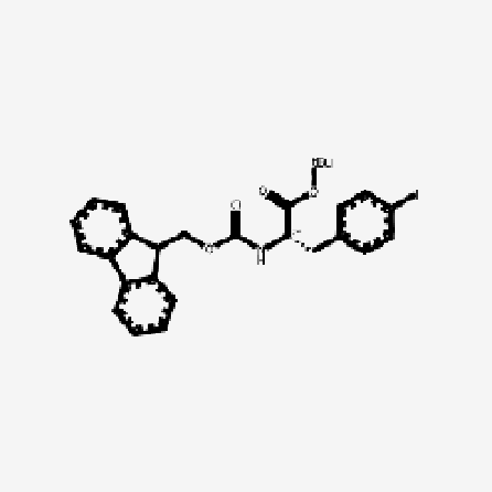 CC(C)(C)OC(=O)[C@H](Cc1ccc(I)cc1)NC(=O)OCC1c2ccccc2-c2ccccc21